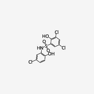 O=S(=O)(Nc1cc(Cl)ccc1O)c1cc(Cl)cc(Cl)c1O